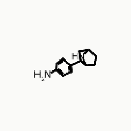 Nc1ccc(C2CC3CCC2N3)cc1